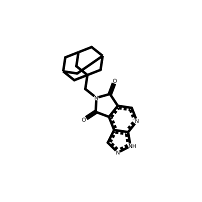 O=C1c2cnc3[nH]ncc3c2C(=O)N1CC12CC3CC(CC(C3)C1)C2